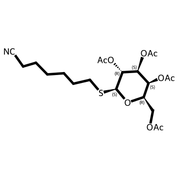 CC(=O)OC[C@H]1O[C@@H](SCCCCCCC#N)[C@H](OC(C)=O)[C@@H](OC(C)=O)[C@H]1OC(C)=O